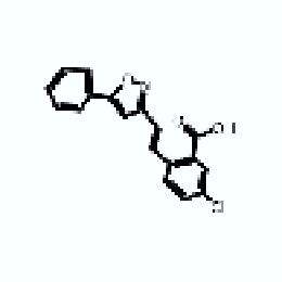 O=C(O)c1cc(Cl)ccc1C=Cc1cc(-c2ccccc2)on1